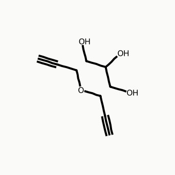 C#CCOCC#C.OCC(O)CO